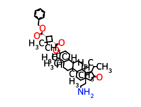 CC(C)C1=C2[C@H]3CC[C@@H]4[C@@]5(C)CC[C@H](OC(=O)[C@H]6C[C@@H](C(=O)OCc7ccccc7)C6(C)C)C(C)(C)[C@@H]5CC[C@@]4(C)[C@]3(C)CC[C@@]2(CCN)CC1=O